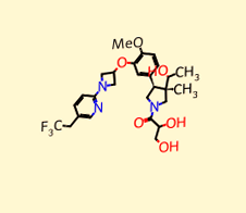 COc1ccc([C@@H]2CN(C(=O)C(O)CO)C[C@@]2(C)C(C)O)cc1OC1CN(c2ccc(CC(F)(F)F)cn2)C1